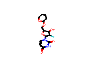 O=c1ccn(C2OC(COC3CCCCO3)C(O)C2F)c(=O)[nH]1